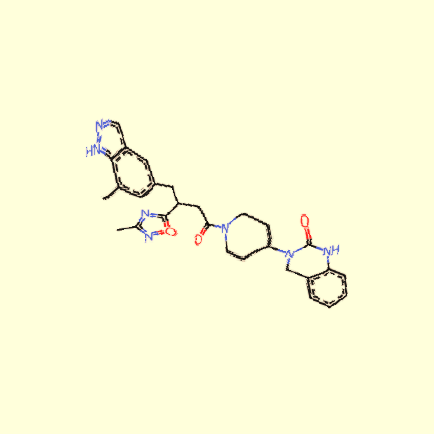 Cc1noc(C(CC(=O)N2CCC(N3Cc4ccccc4NC3=O)CC2)Cc2cc(C)c3[nH]ncc3c2)n1